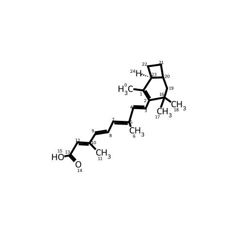 CC1=C(/C=C/C(C)=C/C=C/C(C)=C/C(=O)O)C(C)(C)CC2CC[C@H]12